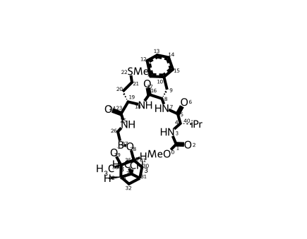 COC(=O)N[C@H](C(=O)N[C@@H](Cc1ccccc1)C(=O)N[C@@H](CCSC)C(=O)NCB1O[C@@H]2CC3C[C@@H](C3(C)C)[C@]2(C)O1)C(C)C